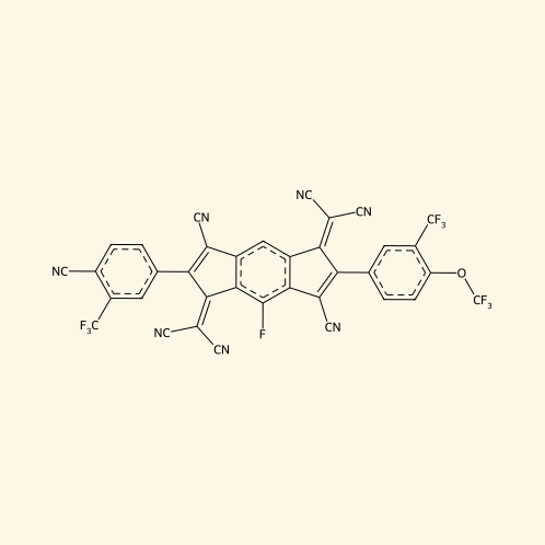 N#CC(C#N)=C1C(c2ccc(OC(F)(F)F)c(C(F)(F)F)c2)=C(C#N)c2c1cc1c(c2F)C(=C(C#N)C#N)C(c2ccc(C#N)c(C(F)(F)F)c2)=C1C#N